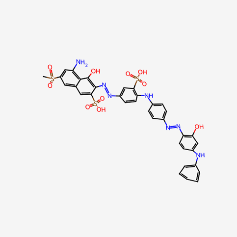 CS(=O)(=O)c1cc(N)c2c(O)c(/N=N/c3ccc(Nc4ccc(/N=N/c5ccc(Nc6ccccc6)cc5O)cc4)c(S(=O)(=O)O)c3)c(S(=O)(=O)O)cc2c1